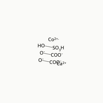 O=C([O-])[O-].O=C([O-])[O-].O=S(=O)(O)O.[Ca+2].[Co+2]